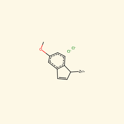 COc1ccc2c(c1)C=C[CH]2[Zr+2].[Cl-].[Cl-]